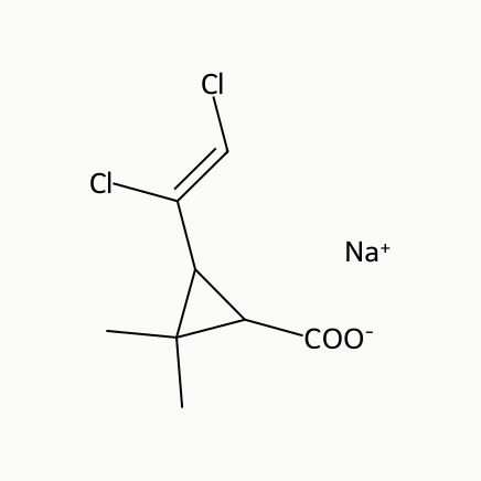 CC1(C)C(C(=O)[O-])C1C(Cl)=CCl.[Na+]